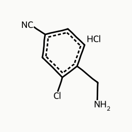 Cl.N#Cc1ccc(CN)c(Cl)c1